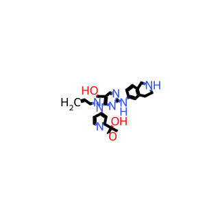 C=CCN1C(O)c2cnc(Nc3ccc4c(c3)CCNC4)nc2N1c1ccnc(C2(O)COC2)c1